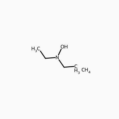 C.CCN(O)CC